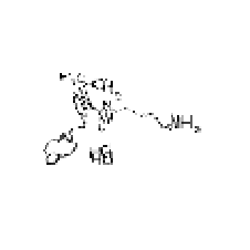 CC(C)N(OCCN1CCOCC1)C(=O)NCCCCCN.Cl.Cl